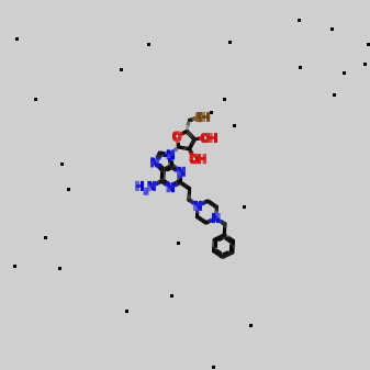 Nc1nc(CCN2CCN(Cc3ccccc3)CC2)nc2c1ncn2[C@@H]1O[C@H](CS)[C@@H](O)[C@H]1O